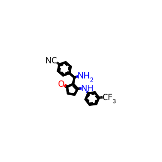 N#Cc1ccc(C(N)C2=C(Nc3cccc(C(F)(F)F)c3)CCC2=O)cc1